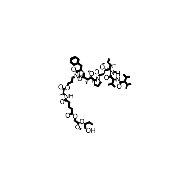 CCC(CO)OC(COC(=O)CCCC(=O)N[C@@H](C)C(=O)OCCCNC(=O)[C@@H](CC(=O)[C@H](C)[C@@H](OC)[C@@H]1CCCN1C(=O)C[C@@H](OC)[C@H]([C@@H](C)CC)N(C)C(=O)[C@@H](NC(=O)C(C(C)C)C(C)C)C(C)C)Cc1ccccc1)OC